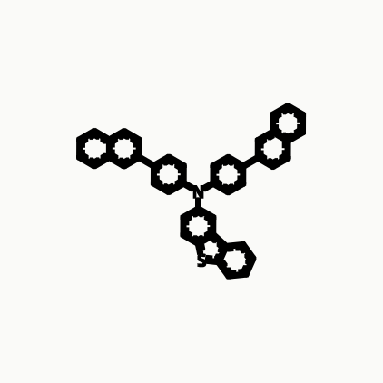 c1ccc2cc(-c3ccc(N(c4ccc(-c5ccc6ccccc6c5)cc4)c4ccc5sc6ccccc6c5c4)cc3)ccc2c1